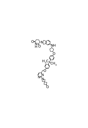 CC(C)(c1ccc(OCc2ccnc(N3CC4(CC(=O)C4)C3)n2)cc1)c1ccc(OC2CCC(Nc3ccc4c(c3)CN(C3CCC(=O)NC3=O)C4)C2)cc1